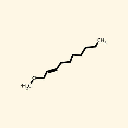 [CH2]OC/C=C/CCCCCCC